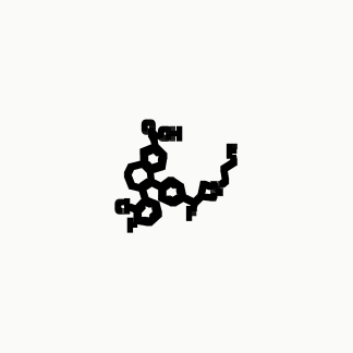 O=C(O)c1ccc2c(c1)CCCC(c1cccc(F)c1Cl)=C2c1ccc(C(F)C2CN(CCCF)C2)cc1